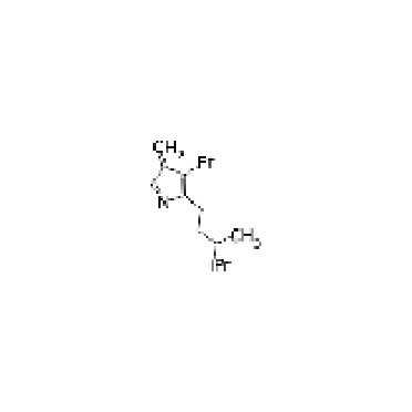 C=C1C=NC(CCC(C)C(C)C)=C1CC